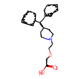 O=C(O)COCCN1CCC(=C(c2ccccc2)c2ccccc2)CC1